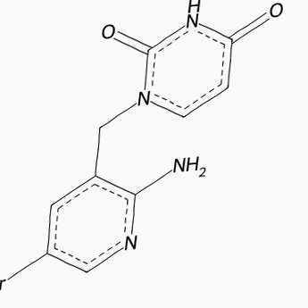 Nc1ncc(Br)cc1Cn1ccc(=O)[nH]c1=O